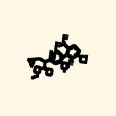 CCOC(=O)C(CC1CC1)c1cc(OC)c(-c2c(C(F)F)ccc(Cl)c2F)cn1